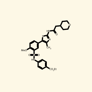 CCOC(=O)c1ccc(NS(=O)(=O)c2cc(-c3sc(NC(=O)CC4CCOCC4)nc3C)ccc2OC)cc1